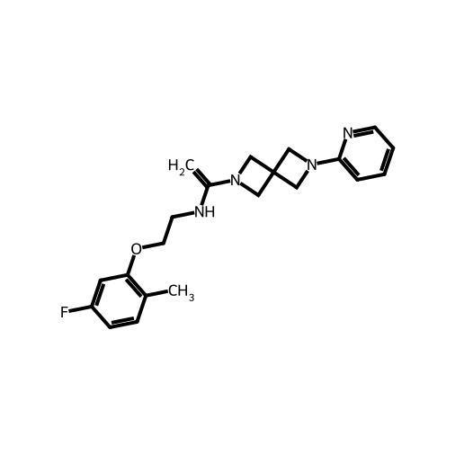 C=C(NCCOc1cc(F)ccc1C)N1CC2(C1)CN(c1ccccn1)C2